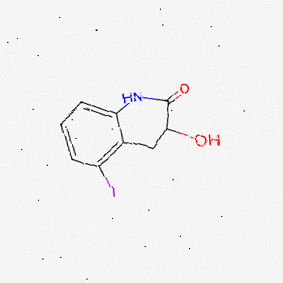 O=C1Nc2cccc(I)c2CC1O